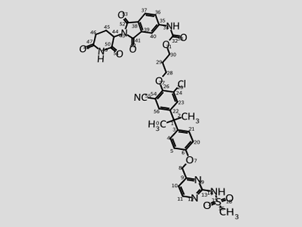 CC(C)(c1ccc(OCc2ccnc(NS(C)(=O)=O)n2)cc1)c1cc(Cl)c(OCCCOC(=O)Nc2ccc3c(c2)C(=O)N(C2CCC(=O)NC2=O)C3=O)c(C#N)c1